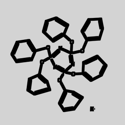 [K].c1ccc(OP2(Oc3ccccc3)=NP(Oc3ccccc3)(Oc3ccccc3)=NP(Oc3ccccc3)(Oc3ccccc3)=N2)cc1